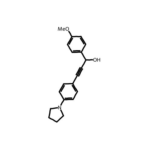 COc1ccc(C(O)C#Cc2ccc(N3CCCC3)cc2)cc1